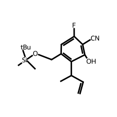 C=CC(C)c1c(CO[Si](C)(C)C(C)(C)C)cc(F)c(C#N)c1O